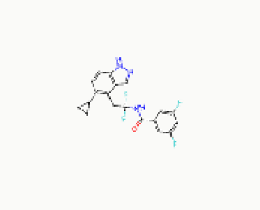 O=C(NC(F)(F)Cc1c(C2CC2)ccc2[nH]ncc12)c1cc(F)cc(F)c1